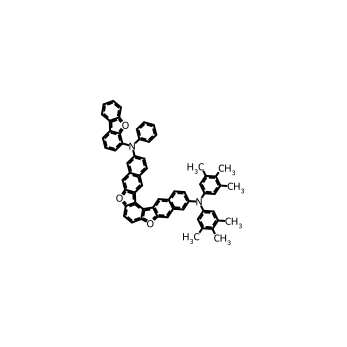 Cc1cc(N(c2cc(C)c(C)c(C)c2)c2ccc3cc4c(cc3c2)oc2ccc3oc5cc6cc(N(c7ccccc7)c7cccc8c7oc7ccccc78)ccc6cc5c3c24)cc(C)c1C